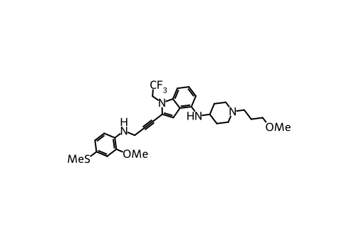 COCCCN1CCC(Nc2cccc3c2cc(C#CCNc2ccc(SC)cc2OC)n3CC(F)(F)F)CC1